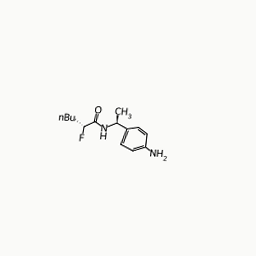 CCCC[C@@H](F)C(=O)N[C@@H](C)c1ccc(N)cc1